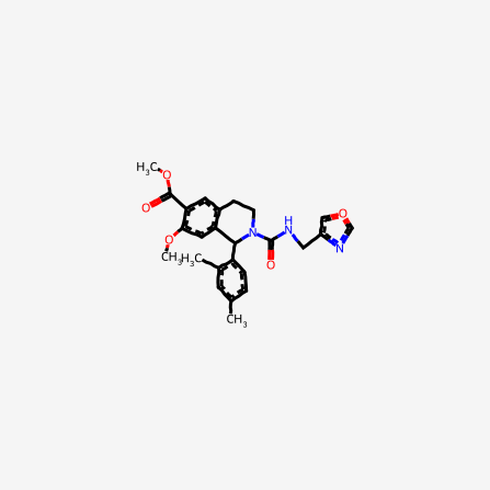 COC(=O)c1cc2c(cc1OC)C(c1ccc(C)cc1C)N(C(=O)NCc1cocn1)CC2